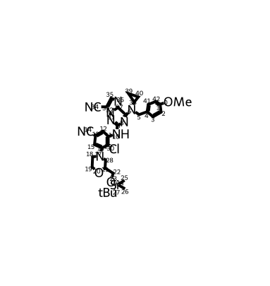 COc1ccc(CN(c2nc(Nc3cc(C#N)cc(N4CCOC(CO[Si](C)(C)C(C)(C)C)C4)c3Cl)nn3c(C#N)cnc23)C2CC2)cc1